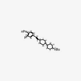 CCCCC1CCC(C2CCC(C#Cc3ccc(CCC)c(F)c3)CC2)CC1